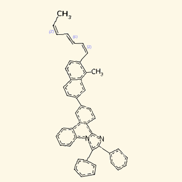 C\C=C/C=C/C=C\c1ccc2ccc(-c3ccc4c(c3)c3ccccc3n3c(-c5ccccc5)c(-c5ccccc5)nc43)cc2c1C